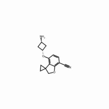 N#Cc1ccc(O[C@H]2C[C@H](N)C2)c2c1OCC21CC1